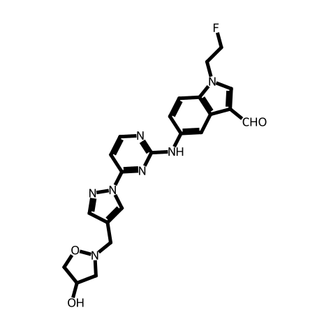 O=Cc1cn(CCF)c2ccc(Nc3nccc(-n4cc(CN5CC(O)CO5)cn4)n3)cc12